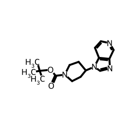 CC(C)(C)OC(=O)N1CCC(n2cnc3cnccc32)CC1